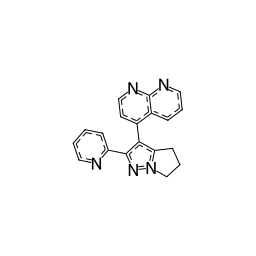 c1ccc(-c2nn3c(c2-c2ccnc4ncccc24)CCC3)nc1